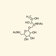 CC(=O)NCC1OC(OC[C@H](NC(C)=O)[C@H](O)[C@@H](C)O)C(O)C(O)C1O